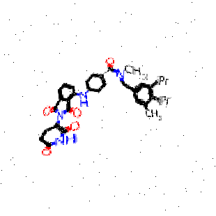 Cc1cc(CN(C)C(=O)[C@H]2CC[C@H](Nc3cccc4c3C(=O)N(C3CCC(=O)NC3=O)C4=O)CC2)cc(C(C)C)c1C(C)C